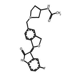 CC(=O)NC1CCN(Cc2ccc3c(c2)CO/C3=C2/C(=O)Nc3ccc(F)cc32)C1